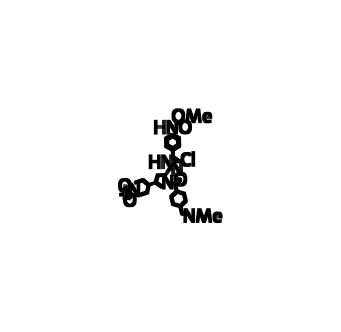 CNCC1CCC(C(=O)N2C[C@@H](C3CCN(S(C)(=O)=O)CC3)C[C@H]2c2nc(Cl)c(-c3ccc(NC(=O)OC)cc3)[nH]2)CC1